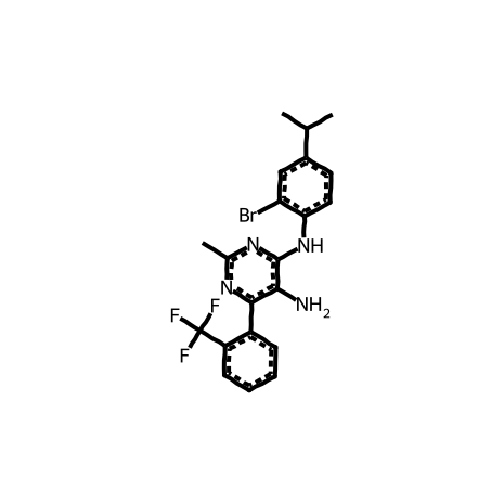 Cc1nc(Nc2ccc(C(C)C)cc2Br)c(N)c(-c2ccccc2C(F)(F)F)n1